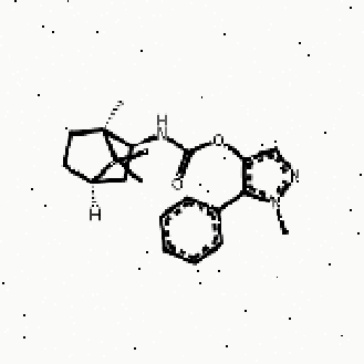 Cn1ncc(OC(=O)N[C@H]2C[C@H]3CC[C@]2(C)C3(C)C)c1-c1ccccc1